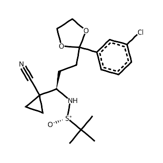 CC(C)(C)[S@+]([O-])N[C@H](CCC1(c2cccc(Cl)c2)OCCO1)C1(C#N)CC1